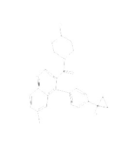 N#CC1(c2ccc(-c3c(C(=O)N4CCC(C=O)CC4)cnc4ccc(F)cc34)cc2)CC1